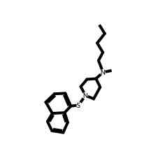 CCCCCN(C)C1CCN(Sc2cccc3ccccc23)CC1